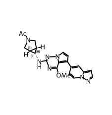 COc1nc(N[C@@H]2[C@@H]3CN(C(C)=O)C[C@@H]32)nn2ccc(-c3ccn4nccc4c3)c12